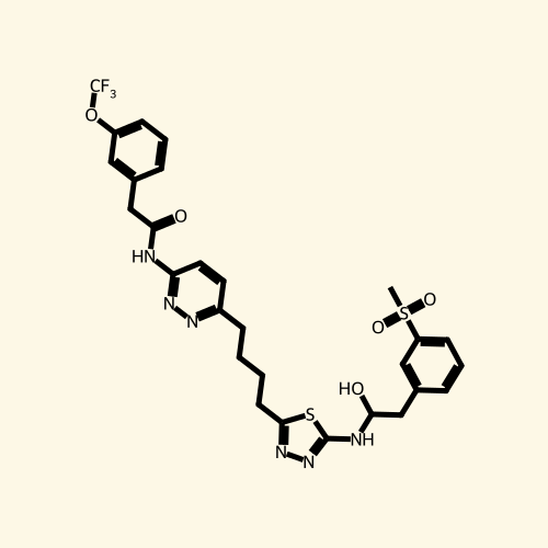 CS(=O)(=O)c1cccc(CC(O)Nc2nnc(CCCCc3ccc(NC(=O)Cc4cccc(OC(F)(F)F)c4)nn3)s2)c1